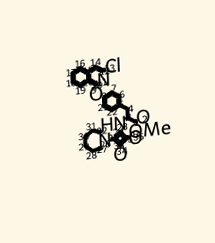 COC(=O)C(Cc1ccc(Oc2nc(Cl)cc3ccccc23)cc1)Nc1c(N2CCCCCC2)c(=O)c1=O